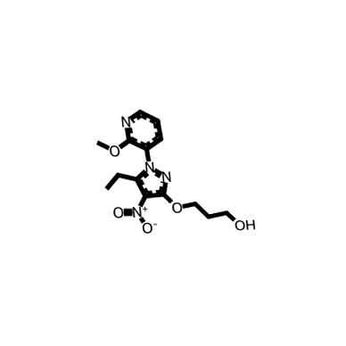 CCc1c([N+](=O)[O-])c(OCCCO)nn1-c1cccnc1OC